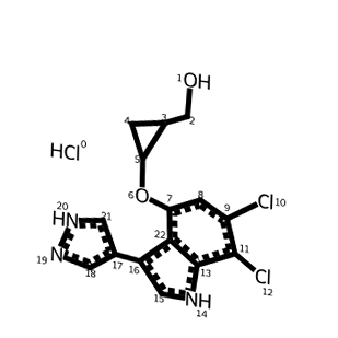 Cl.OCC1CC1Oc1cc(Cl)c(Cl)c2[nH]cc(-c3cn[nH]c3)c12